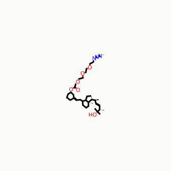 C[C@@H](/C=C/[C@H](C)C(C)(C)O)[C@H]1CCC2C(C/C=C3/CCC[C@H](OC(=O)COCCOCCOCCN=[N+]=[N-])C3)CCC[C@@]21C